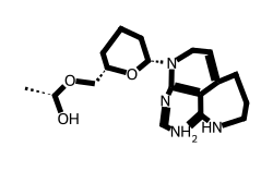 C=C1NCCCC2=CCN([C@H]3CCC[C@@H](CO[C@@H](C)O)O3)C(/N=C\N)=C12